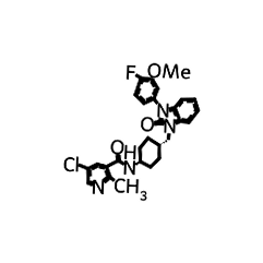 COc1cc(-n2c(=O)n(C[C@H]3CC[C@H](NC(=O)c4cc(Cl)cnc4C)CC3)c3ccccc32)ccc1F